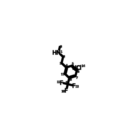 CNCCc1cccc(C(F)(F)F)c1.Cl